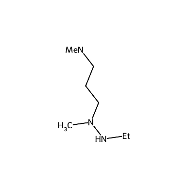 CCNN(C)CCCNC